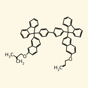 C=CCOc1ccc2cc(C3(c4ccc(-c5ccc(C6(c7ccc8ccc(OCC(=C)C)cc8c7)c7ccccc7-c7ccccc76)cc5)cc4)c4ccccc4-c4ccccc43)ccc2c1